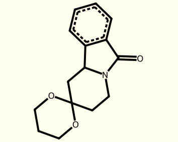 O=C1c2ccccc2C2CC3(CCN12)OCCCO3